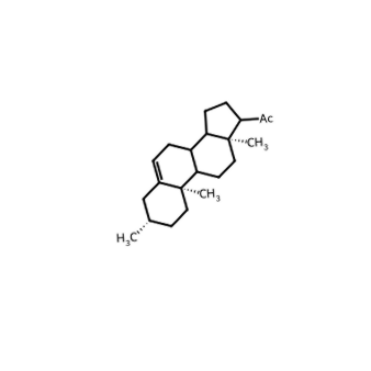 CC(=O)C1CCC2C3CC=C4C[C@@H](C)CC[C@]4(C)C3CC[C@]12C